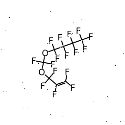 FC(F)=C(F)C(F)(F)OC(F)(F)OC(F)(F)C(F)(F)C(F)(F)C(F)(F)F